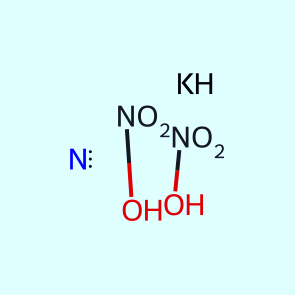 O=[N+]([O-])O.O=[N+]([O-])O.[KH].[N]